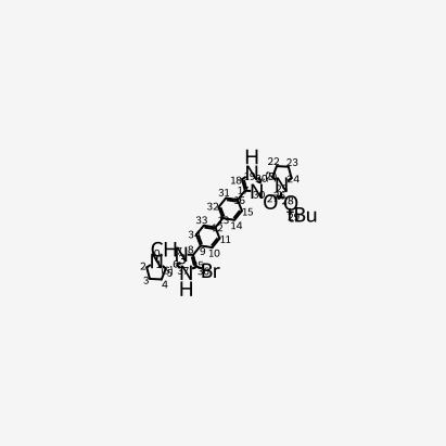 CN1CCC[C@H]1c1nc(-c2ccc(-c3ccc(-c4c[nH]c([C@@H]5CCCN5C(=O)OC(C)(C)C)n4)cc3)cc2)c(Br)[nH]1